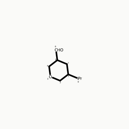 CC(C)C1COCC(C=O)C1